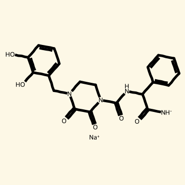 [NH-]C(=O)C(NC(=O)N1CCN(Cc2cccc(O)c2O)C(=O)C1=O)c1ccccc1.[Na+]